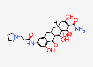 NC(=O)C1=C(O)C[C@@H]2CC3Cc4cc(NC(=O)CCN5CCCC5)cc(O)c4C(=O)C3=C(O)[C@]2(O)C1=O